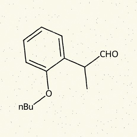 CCCCOc1ccccc1C(C)C=O